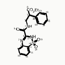 CCOC(=O)C(CNC(=O)C1=Nc2ccccc2S(=O)(=O)N1)c1ccccc1